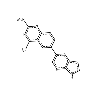 CNc1nc(C)c2cc(-c3cnc4[nH]ccc4c3)ccc2n1